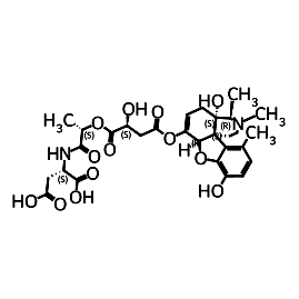 Cc1ccc(O)c2c1[C@]13CCN(C)[C@H](C)[C@]1(O)CC=C(OC(=O)C[C@H](O)C(=O)O[C@@H](C)C(=O)N[C@@H](CC(=O)O)C(=O)O)[C@@H]3O2